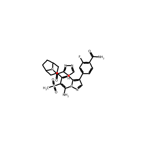 CS(=O)(=O)c1c(C2CC3CCC(C2)N3C(=O)c2nnc[nH]2)nc2c(-c3ccc(C(N)=O)c(F)c3)cnn2c1N